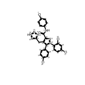 O=C(Nc1ccc(Cl)cc1)c1nn(-c2ccc(Cl)cc2Cl)c(-c2ccc(Cl)cc2)c1Cc1nn[nH]n1